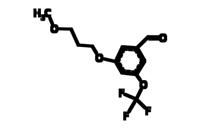 COCCCOc1cc(C=O)cc(OC(F)(F)F)c1